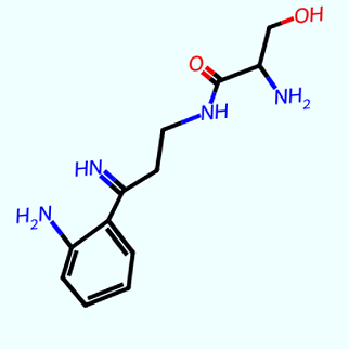 N=C(CCNC(=O)C(N)CO)c1ccccc1N